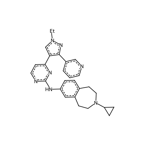 CCn1cc(-c2ccnc(Nc3ccc4c(c3)CCN(C3CC3)CC4)n2)c(-c2cccnc2)n1